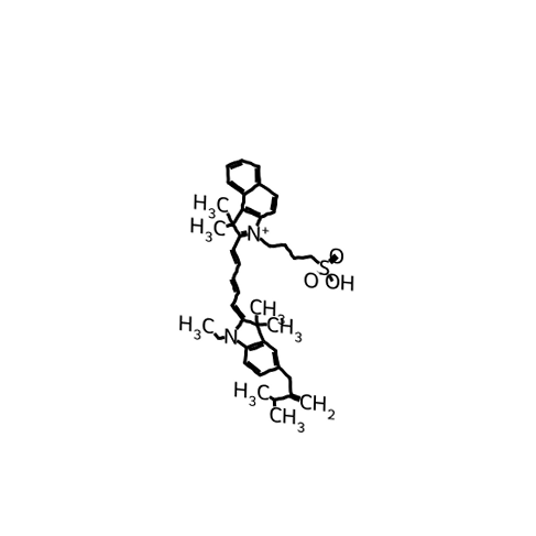 C=C(Cc1ccc2c(c1)C(C)(C)\C(=C/C=C/C=C/C1=[N+](CCCCS(=O)(=O)O)c3ccc4ccccc4c3C1(C)C)N2CC)C(C)C